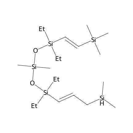 CC[Si](C=CC[SiH](C)C)(CC)O[Si](C)(C)O[Si](C=C[Si](C)(C)C)(CC)CC